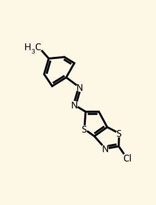 Cc1ccc(N=Nc2cc3sc(Cl)nc3s2)cc1